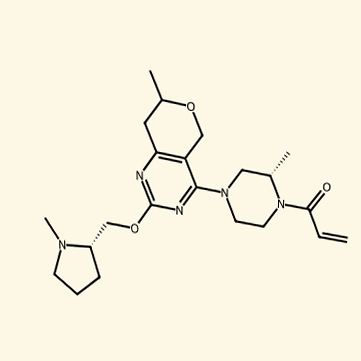 C=CC(=O)N1CCN(c2nc(OC[C@@H]3CCCN3C)nc3c2COC(C)C3)C[C@@H]1C